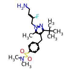 Cc1c(Cc2ccc(S(=O)(=O)N(C)C)cc2)c(C(C)(C)C)nn1CC(F)=CCN